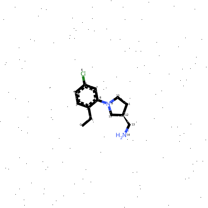 CCc1ccc(Cl)cc1N1CC[C@@H](CN)C1